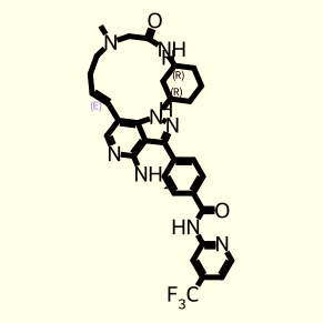 CN1CC/C=C/c2cnc(N)c3c(-c4ccc(C(=O)Nc5cc(C(F)(F)F)ccn5)cc4)nn(c23)[C@@H]2CCC[C@H](C2)NC(=O)C1